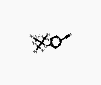 [2H]C([2H])([2H])C(Oc1ccc(C#N)cc1)(C([2H])([2H])[2H])C([2H])([2H])[2H]